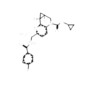 C[C@@H](NC(=O)c1ccc(F)cc1)c1ccc2c(n1)[C@@H]1C[C@@H]1CN2C(=O)OC1CC1